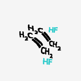 C=C.C=C.F.F